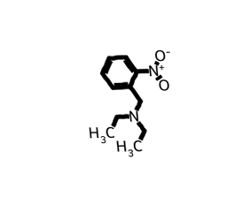 CCN(CC)Cc1ccccc1[N+](=O)[O-]